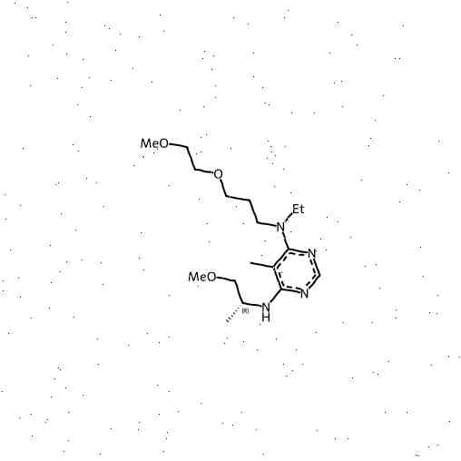 CCN(CCCOCCOC)c1ncnc(N[C@H](C)COC)c1C